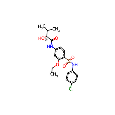 CCOc1cc(NC(=O)[C@@H](O)C(C)C)ccc1S(=O)(=O)Nc1ccc(Cl)cc1